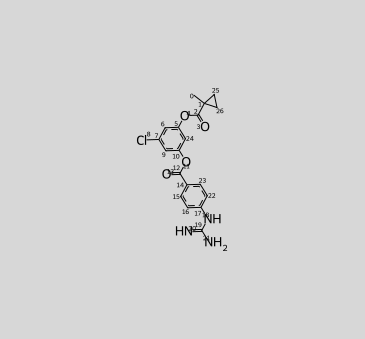 CC1(C(=O)Oc2cc(Cl)cc(OC(=O)c3ccc(NC(=N)N)cc3)c2)CC1